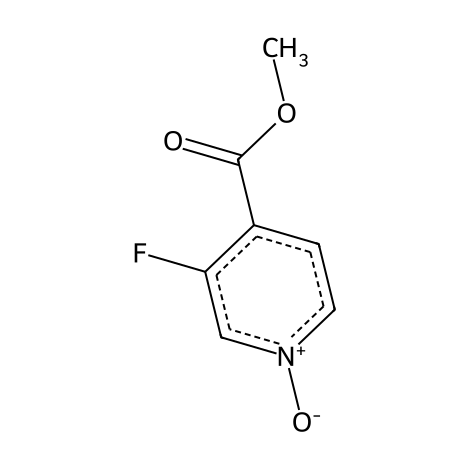 COC(=O)c1cc[n+]([O-])cc1F